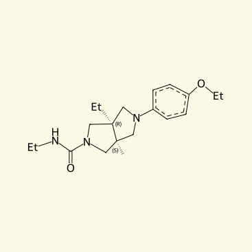 CCNC(=O)N1C[C@]2(C)CN(c3ccc(OCC)cc3)C[C@]2(CC)C1